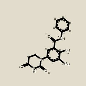 CC(C)(C)c1cc(N2CCC(=O)NC2=O)cc(C(=O)Nc2ccccc2)c1O